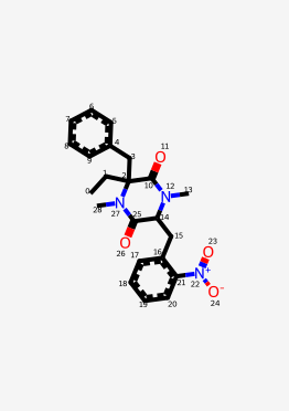 CCC1(Cc2ccccc2)C(=O)N(C)C(Cc2ccccc2[N+](=O)[O-])C(=O)N1C